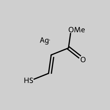 COC(=O)C=CS.[Ag]